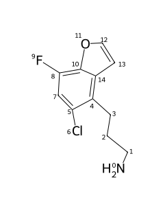 NCCCc1c(Cl)cc(F)c2occc12